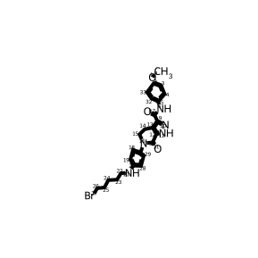 COc1ccc(NC(=O)c2n[nH]c3c2CCN(c2ccc(NCCCCCBr)cc2)C3=O)cc1